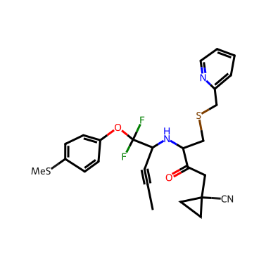 CC#CC(NC(CSCc1ccccn1)C(=O)CC1(C#N)CC1)C(F)(F)Oc1ccc(SC)cc1